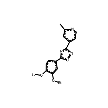 CCOc1ccc(-c2nc(-c3ccnc(C)c3)no2)cc1OCC